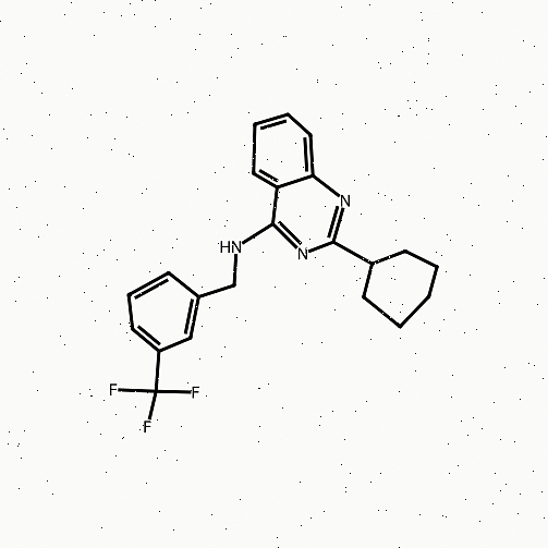 FC(F)(F)c1cccc(CNc2nc(C3CCCCC3)nc3ccccc23)c1